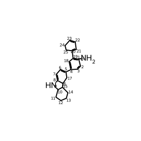 Nc1ccc(C2=CC=C3NC4CCCCC4C3C2)cc1C1=CC=CCC1